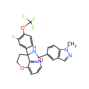 Cn1ncc2cc(C(=O)NC3(c4ccc(OC(F)(F)F)c(F)c4)CCOc4cccnc43)ccc21